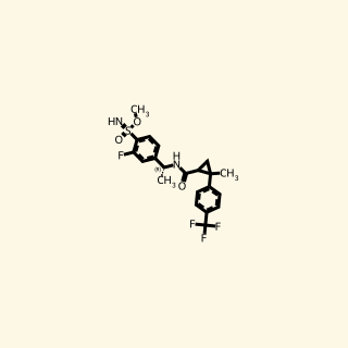 COS(=N)(=O)c1ccc([C@@H](C)NC(=O)C2CC2(C)c2ccc(C(F)(F)F)cc2)cc1F